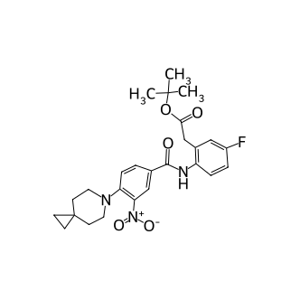 CC(C)(C)OC(=O)Cc1cc(F)ccc1NC(=O)c1ccc(N2CCC3(CC2)CC3)c([N+](=O)[O-])c1